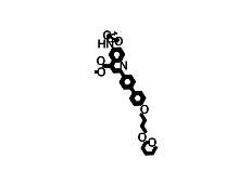 COC(=O)c1cc(-c2ccc(-c3ccc(OCCCCOC4CCCCO4)cc3)cc2)nc2ccc(NS(C)(=O)=O)cc12